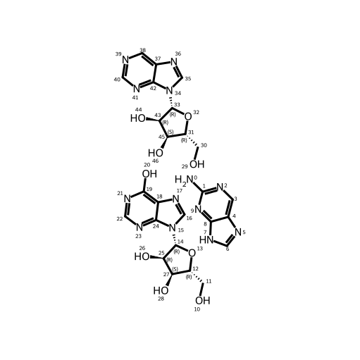 Nc1ncc2nc[nH]c2n1.OC[C@H]1O[C@@H](n2cnc3c(O)ncnc32)[C@H](O)[C@@H]1O.OC[C@H]1O[C@@H](n2cnc3cncnc32)[C@H](O)[C@@H]1O